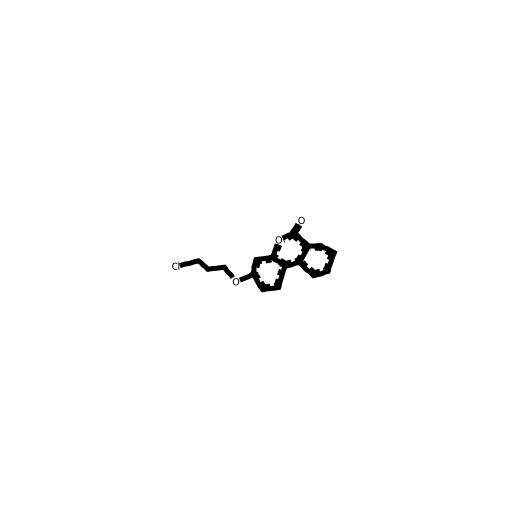 O=c1oc2cc(OCCCCl)ccc2c2ccccc12